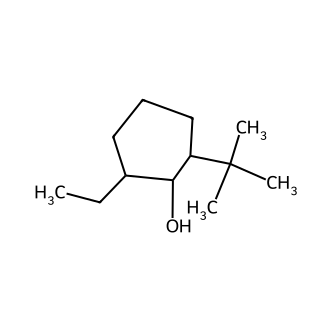 CCC1CCCC(C(C)(C)C)C1O